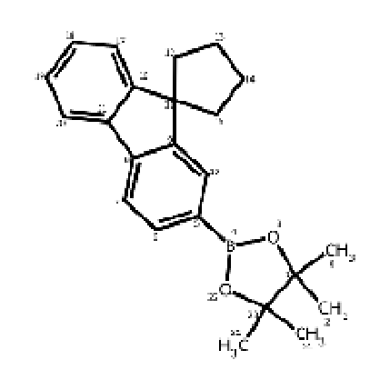 CC1(C)OB(c2ccc3c(c2)C2(CCCC2)c2ccccc2-3)OC1(C)C